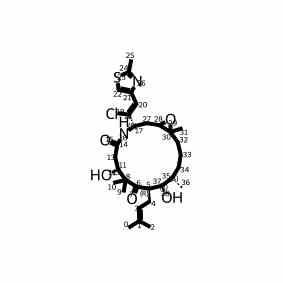 CC(C)=CC[C@H]1C(=O)C(C)(C)[C@@H](O)CC(=O)N[C@H](C(Cl)=Cc2csc(C)n2)CC2OC2(C)CCC[C@H](C)[C@H]1O